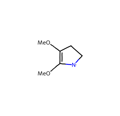 COC1=C(OC)[N]CC1